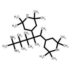 CC(C1CC(C)(C)NC(C)(C)C1)C(C)(C1CC(C)(C)NC(C)(C)C1)C(C)(C)C(C)(C)C(C)(N)N